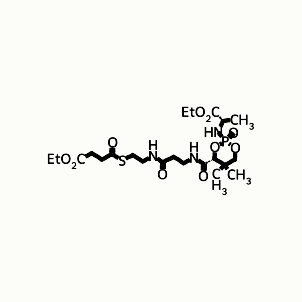 CCOC(=O)CCC(=O)SCCNC(=O)CCNC(=O)[C@@H]1OP(=O)(N[C@@H](C)C(=O)OCC)OCC1(C)C